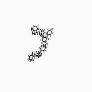 c1ccc(-c2cnc(Nc3cccnc3)nc2-c2ccc(CN3CCC(c4nnc(-c5ccccn5)[nH]4)CC3)cc2)cc1